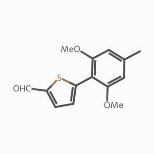 COc1cc(C)cc(OC)c1-c1ccc(C=O)s1